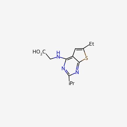 CCc1cc2c(NCC(=O)O)nc(C(C)C)nc2s1